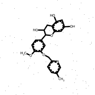 COc1ccc(C2Oc3cc(O)cc(O)c3CC2O)cc1OCc1ccc(C)cn1